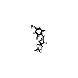 CC(=O)OC1(C)CN(Cc2c(C)cc(Br)cc2C)C1